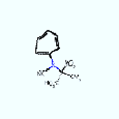 C[C@@](C(=O)O)(N(C#N)c1ccccc1)[N+](=O)[O-]